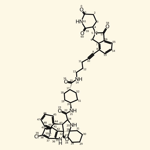 O=C1CCC(N2Cc3c(C#CCCCNC(=O)[C@H]4CC[C@H](NC(=O)C5NC6(CCCCC6)[C@@]6(C(=O)Nc7cc(Cl)ccc76)[C@H]5c5ccccc5F)CC4)cccc3C2=O)C(=O)N1